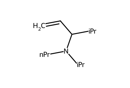 C=CC(C(C)C)N(CCC)C(C)C